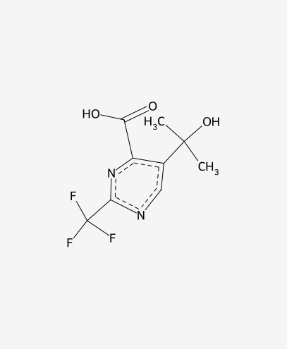 CC(C)(O)c1cnc(C(F)(F)F)nc1C(=O)O